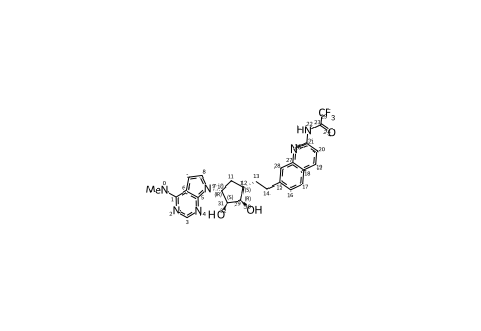 CNc1ncnc2c1ccn2[C@@H]1C[C@H](CCc2ccc3ccc(NC(=O)C(F)(F)F)nc3c2)[C@@H](O)[C@H]1O